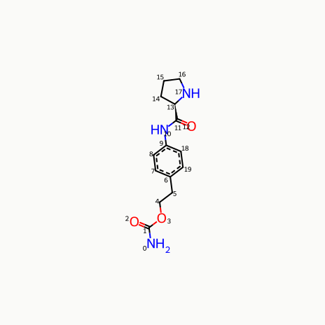 NC(=O)OCCc1ccc(NC(=O)[C@H]2CCCN2)cc1